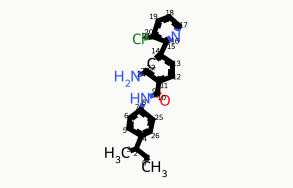 CCC(C)c1ccc(NC(=O)c2ccc(-c3ncccc3Cl)cc2N)cc1